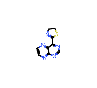 c1cnc2c(C3=NCCS3)ncnc2n1